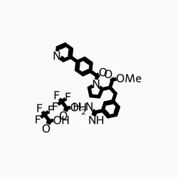 COC(=O)C(Cc1cccc(C(=N)N)c1)C1CCCN1C(=O)c1ccc(-c2cccnc2)cc1.O=C(O)C(F)(F)F.O=C(O)C(F)(F)F